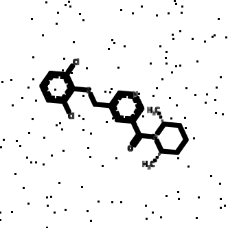 C[C@@H]1CCC[C@H](C)N1C(=O)c1cncc(CSc2c(Cl)cccc2Cl)c1